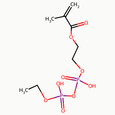 C=C(C)C(=O)OCCOP(=O)(O)OP(=O)(O)OCC